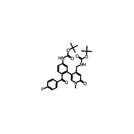 Cn1cc(-c2cc(NC(=O)OC(C)(C)C)ccc2C(=O)c2ccc(F)cc2)c(CNC(=O)OC(C)(C)C)cc1=O